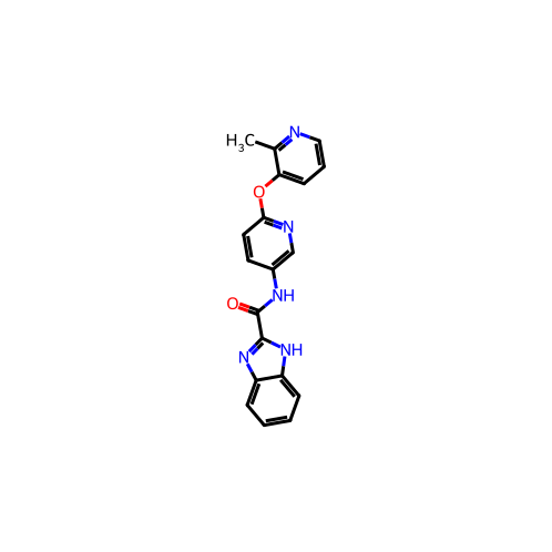 Cc1ncccc1Oc1ccc(NC(=O)c2nc3ccccc3[nH]2)cn1